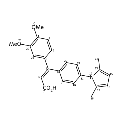 COc1ccc(C(=CC(=O)O)c2ccc(-n3c(C)ccc3C)cc2)cc1OC